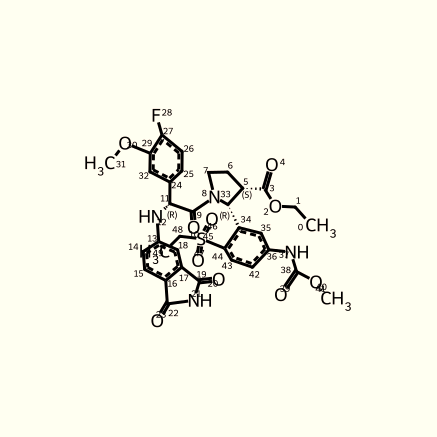 CCOC(=O)[C@H]1CCN(C(=O)[C@H](Nc2ccc3c(c2)C(=O)NC3=O)c2ccc(F)c(OC)c2)[C@H]1c1cc(NC(=O)OC)ccc1S(=O)(=O)CC